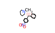 BC(c1ccccc1)c1ccc([N+](=O)[O-])cc1.CN1CCCCC1